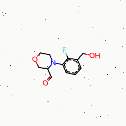 O=CC1COCCN1c1cccc(CO)c1F